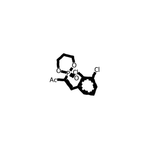 CC(=O)C(=Cc1cccc(Cl)c1Cl)P1(=O)OCCCO1